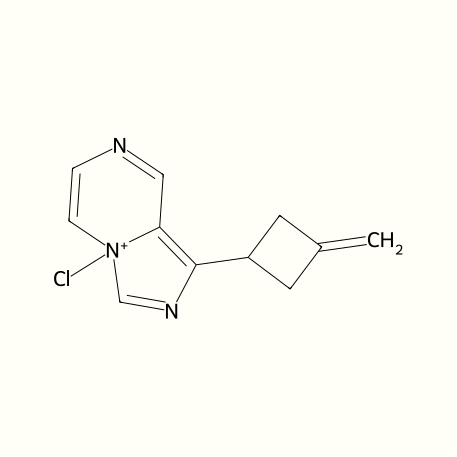 C=C1CC(C2=C3C=NC=C[N+]3(Cl)C=N2)C1